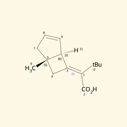 CC(C)(C)/C(C(=O)O)=C1/C[C@]2(C)CC=C[C@@H]12